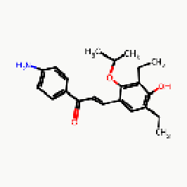 CCc1cc(/C=C/C(=O)c2ccc(N)cc2)c(OC(C)C)c(CC)c1O